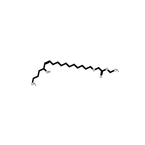 CCCCC(O)/C=C\CCCCCCCCCCOCC(=O)OCC